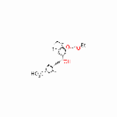 CCOCCOc1cc(C(O)C#Cc2ccc(C(=O)O)cc2C)cc2c1C(C)(C)CCC2(C)C